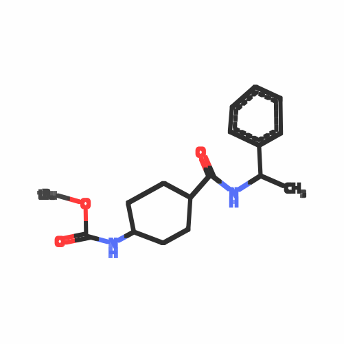 CC(NC(=O)C1CCC(NC(=O)OC(C)(C)C)CC1)c1ccccc1